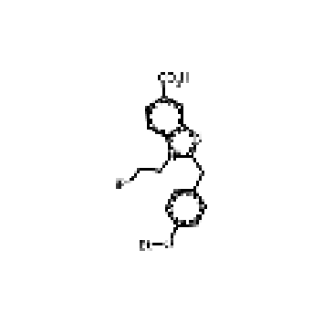 CCOc1ccc(Cc2nc3cc(C(=O)O)ccc3n2CCC(C)C)cc1